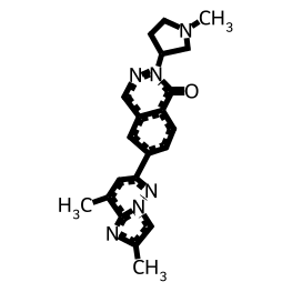 Cc1cn2nc(-c3ccc4c(=O)n(C5CCN(C)C5)ncc4c3)cc(C)c2n1